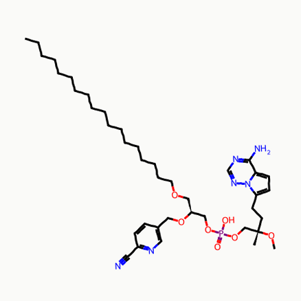 CCCCCCCCCCCCCCCCCCOC[C@@H](COP(=O)(O)OC[C@](C)(CCc1ccc2c(N)ncnn12)OC)OCc1ccc(C#N)nc1